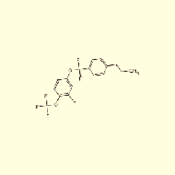 CCCc1ccc(C(F)(F)Oc2ccc(OC(F)(F)F)c(F)c2)cc1